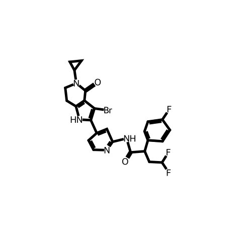 O=C(Nc1cc(-c2[nH]c3c(c2Br)C(=O)N(C2CC2)CC3)ccn1)C(CC(F)F)c1ccc(F)cc1